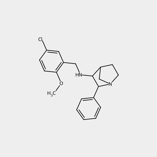 COc1ccc(Cl)cc1CNC1C2CCN(C2)C1c1ccccc1